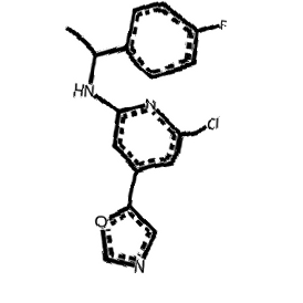 CC(Nc1cc(-c2cnco2)cc(Cl)n1)c1ccc(F)cc1